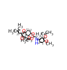 COc1ccc(NCC(=O)O[C@@H]2CC[C@]3(CO3)[C@@H]([C@@]3(C)OC3CC=C(C)C)[C@@H]2OC)cc1OC(C)C